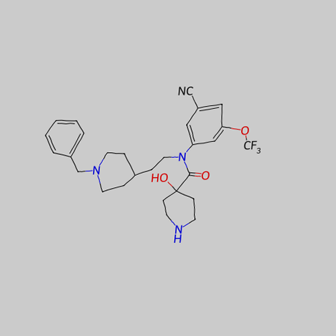 N#Cc1cc(OC(F)(F)F)cc(N(CCC2CCN(Cc3ccccc3)CC2)C(=O)C2(O)CCNCC2)c1